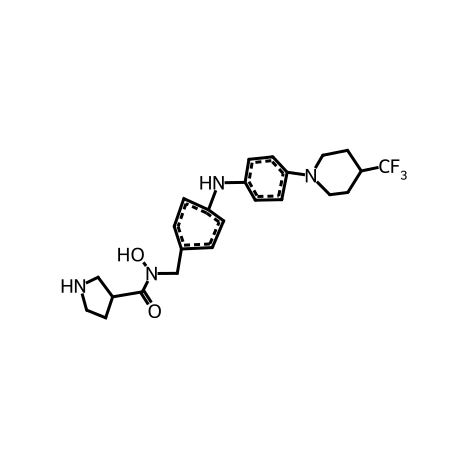 O=C(C1CCNC1)N(O)Cc1ccc(Nc2ccc(N3CCC(C(F)(F)F)CC3)cc2)cc1